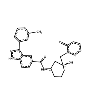 Cc1cc(-c2n[nH]c3ccc(C(=O)N[C@@H]4CCC[C@@](O)(Cn5ncccc5=O)C4)cc23)ccn1